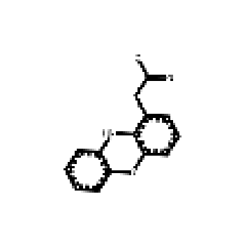 O=C(O)Cc1cccc2c1Nc1ccccc1O2